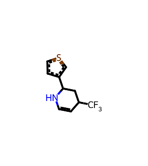 FC(F)(F)C1C=CNC(c2ccsc2)C1